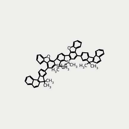 CC1(C)c2cc(-c3cc4c(c5oc6ccccc6c35)-c3ccc5c(c3[Si]4(C)C)[Si](C)(C)c3cc(-c4ccc6c(c4)C(C)(C)c4ccc7ccccc7c4-6)c4c(oc6ccccc64)c3-5)ccc2-c2c1ccc1ccccc21